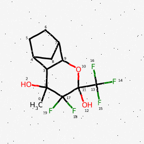 CC1(O)C2C3CCC(C3)C2OC(O)(C(F)(F)F)C1(F)F